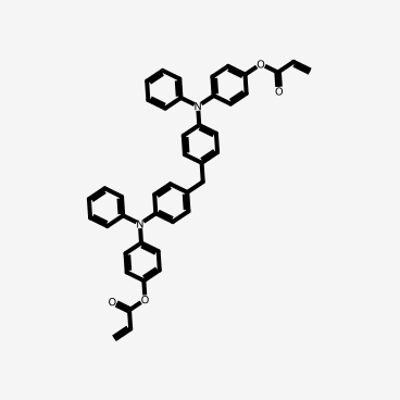 C=CC(=O)Oc1ccc(N(c2ccccc2)c2ccc(Cc3ccc(N(c4ccccc4)c4ccc(OC(=O)C=C)cc4)cc3)cc2)cc1